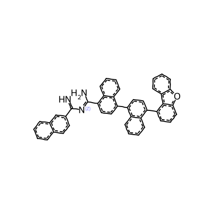 N=C(/N=C(\N)c1ccc(-c2ccc(-c3cccc4oc5ccccc5c34)c3ccccc23)c2ccccc12)c1ccc2ccccc2c1